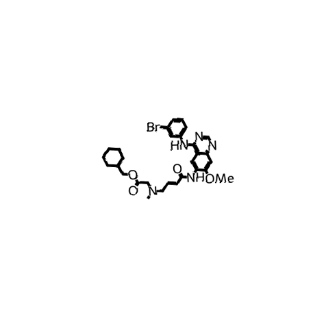 COc1cc2ncnc(Nc3cccc(Br)c3)c2cc1NC(=O)/C=C/CN(C)CC(=O)OCC1CCCCC1